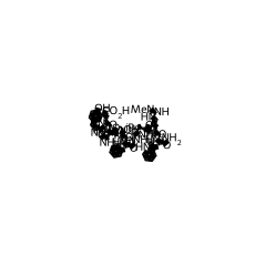 CNC(=N)NCCC[C@H](NC(=O)[C@H](CC(C)C)NC(=O)NNC(=O)[C@H](Cc1ccccc1)NC(=O)C(NC(=O)[C@H](CC(N)=O)NC(=O)[C@H](CCC(=O)O)NC(=O)[C@@H](Cc1ccc(O)cc1)NC(C)=O)[C@@H](C)O)C(=O)N[C@@H](Cc1c[nH]c2ccccc12)C(N)=O